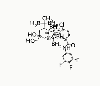 BC(B)[C@H]1C[C@](O)(CO)CC(C(B)(B)C)[C@]1(B)S(=O)(=O)c1cc(C(=O)Nc2cc(F)c(F)c(F)c2)ccc1Cl